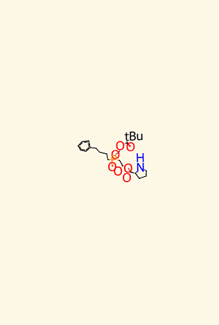 CC(C)(C)C(=O)OCOP(=O)(CCCCc1ccccc1)CC(=O)OC(=O)[C@@H]1CCCN1